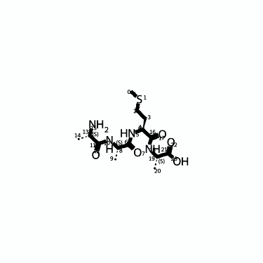 CSCC[C@H](NC(=O)[C@H](C)NC(=O)[C@H](C)N)C(=O)N[C@@H](C)C(=O)O